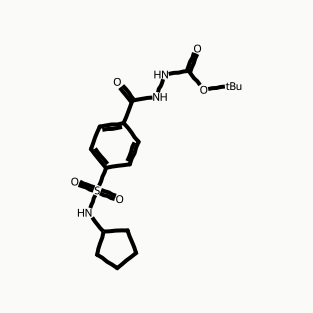 CC(C)(C)OC(=O)NNC(=O)c1ccc(S(=O)(=O)NC2CCCC2)cc1